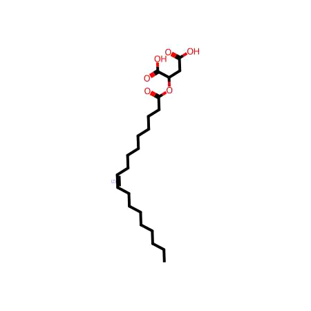 CCCCCCCC/C=C\CCCCCCCC(=O)OC(CC(=O)O)C(=O)O